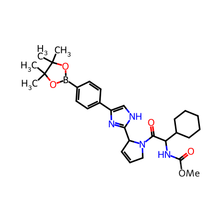 COC(=O)NC(C(=O)N1CC=CC1c1nc(-c2ccc(B3OC(C)(C)C(C)(C)O3)cc2)c[nH]1)C1CCCCC1